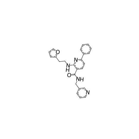 O=C(NCc1cccnc1)c1ccc(-c2ccccc2)nc1NCCc1ccco1